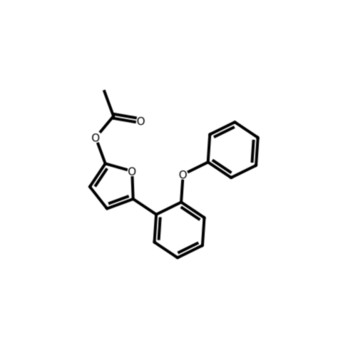 CC(=O)Oc1ccc(-c2ccccc2Oc2ccccc2)o1